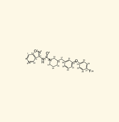 O=C(Nc1noc2ccncc12)N1CCCC(Cc2cccc(Oc3ccc(F)cc3)c2)C1